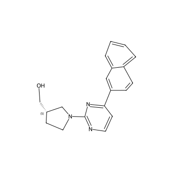 OC[C@H]1CCN(c2nccc(-c3ccc4ccccc4c3)n2)C1